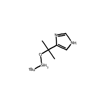 CC(C)(C)[SiH2]OC(C)(C)c1c[nH]cn1